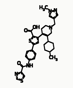 CC1CCC(C2=C(c3cc(-c4ccc(NC(=O)c5cscn5)cc4)sc3C(=O)O)CCN(Cc3cnn(C)c3)C2)CC1